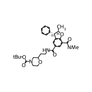 CNC(=O)c1cc(C(=O)NCCC2CN(C(=O)OC(C)(C)C)CCO2)cc2c1O[C@H](C)[C@H]2c1ccccc1